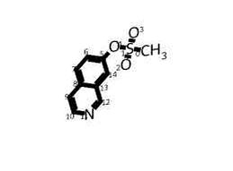 CS(=O)(=O)Oc1ccc2ccncc2c1